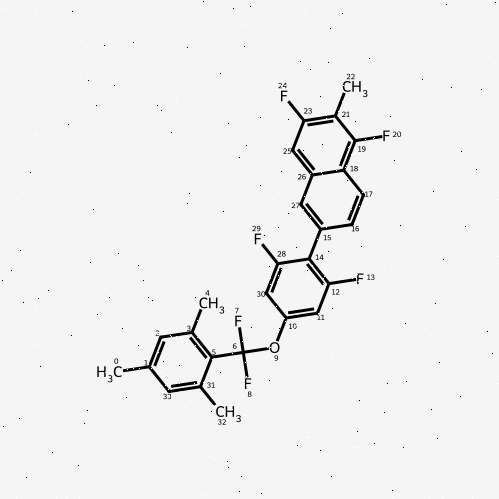 Cc1cc(C)c(C(F)(F)Oc2cc(F)c(-c3ccc4c(F)c(C)c(F)cc4c3)c(F)c2)c(C)c1